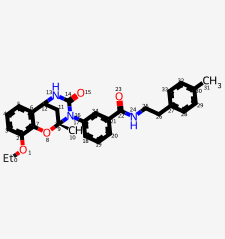 CCOc1cccc2c1O[C@]1(C)CC2NC(=O)N1c1cccc(C(=O)NCCc2ccc(C)cc2)c1